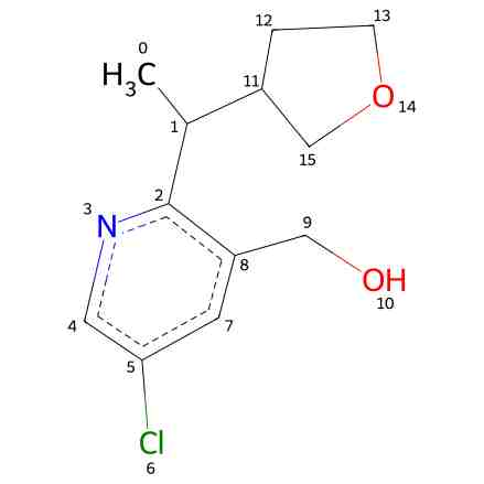 CC(c1ncc(Cl)cc1CO)C1CCOC1